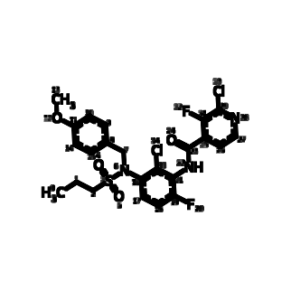 CCCS(=O)(=O)N(Cc1ccc(OC)cc1)c1ccc(F)c(NC(=O)c2ccnc(Cl)c2F)c1Cl